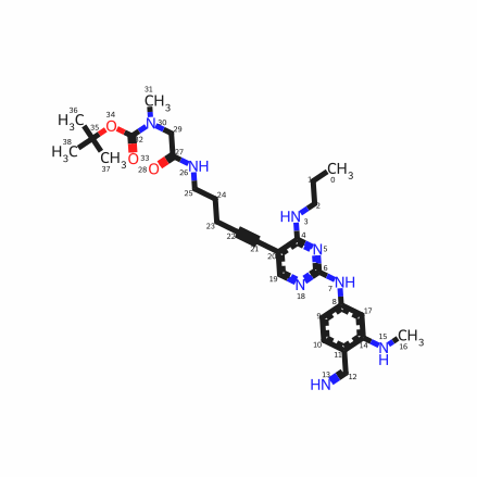 CCCNc1nc(Nc2ccc(C=N)c(NC)c2)ncc1C#CCCCNC(=O)CN(C)C(=O)OC(C)(C)C